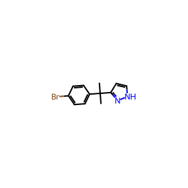 CC(C)(c1ccc(Br)cc1)c1cc[nH]n1